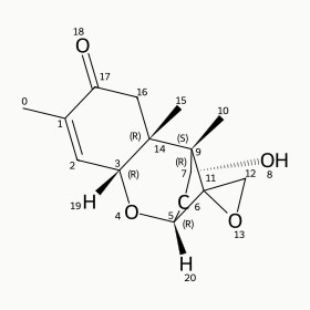 CC1=C[C@H]2O[C@@H]3C[C@@H](O)[C@@](C)(C34CO4)[C@@]2(C)CC1=O